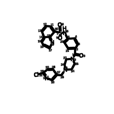 O=C(c1ccc(NS(=O)(=O)c2cccc3cccnc23)cc1)N1CCN(Cc2ccc(Cl)nc2)CC1